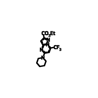 CCOC(=O)c1cc2nc(N3CCCCC3)cc(C(F)(F)F)n2n1